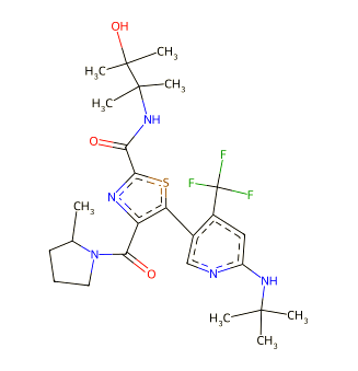 CC1CCCN1C(=O)c1nc(C(=O)NC(C)(C)C(C)(C)O)sc1-c1cnc(NC(C)(C)C)cc1C(F)(F)F